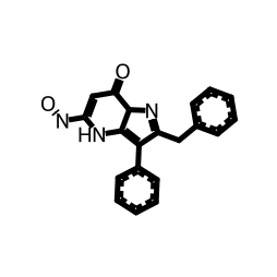 O=NC1=CC(=O)C2N=C(Cc3ccccc3)C(c3ccccc3)=C2N1